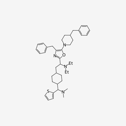 CCN(CC)C(CC1CCC(C(c2cccs2)N(C)C)CC1)c1nc(Cc2ccccc2)c(N2CCC(Cc3ccccc3)CC2)o1